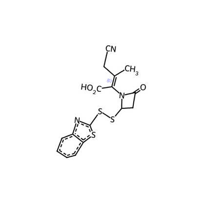 C/C(CC#N)=C(/C(=O)O)N1C(=O)CC1SSc1nc2ccccc2s1